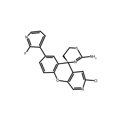 NC1=N[C@@]2(CCS1)c1cc(-c3cccnc3F)ccc1Oc1cnc(Cl)cc12